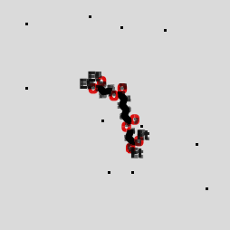 CCOC(CCOC(=O)CCCCC(=O)OCCC(OCC)OCC)OCC